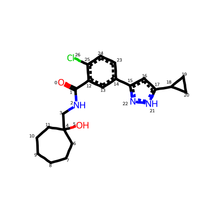 O=C(NCC1(O)CCCCCC1)c1cc(-c2cc(C3CC3)[nH]n2)ccc1Cl